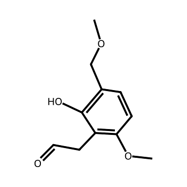 COCc1ccc(OC)c(CC=O)c1O